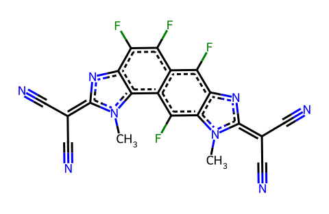 Cn1c(=C(C#N)C#N)nc2c(F)c3c(F)c(F)c4nc(=C(C#N)C#N)n(C)c4c3c(F)c21